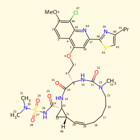 COc1ccc2c(OCC[C@@H]3NC(=O)N(C)CCCCC=C[C@@H]4C[C@@]4(C(=O)NS(=O)(=O)N(C)C)NC3=O)cc(-c3nc(C(C)C)cs3)nc2c1Cl